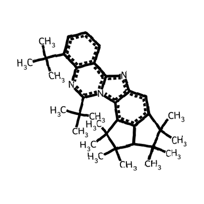 CC(C)(C)c1cccc2c1nc(C(C)(C)C)n1c2nc2cc3c4c(c21)C(C)(C)C(C)(C)C4C(C)(C)C3(C)C